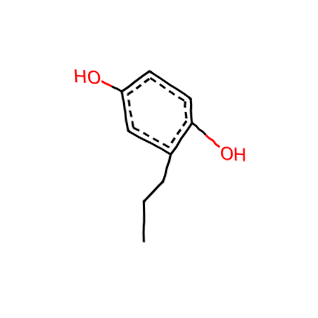 CCCc1cc(O)ccc1O